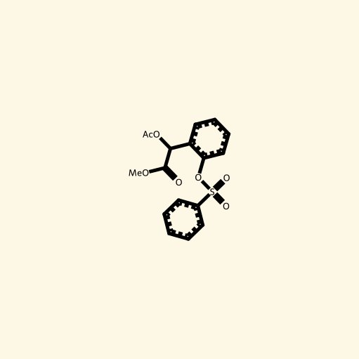 COC(=O)C(OC(C)=O)c1ccccc1OS(=O)(=O)c1ccccc1